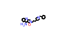 Nc1c2c(nc3ccccc13)CN(CCCC1CCN(Cc3ccccc3)CC1)C2=O